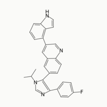 CC(C)n1cnc(-c2ccc(F)cc2)c1-c1ccc2ncc(-c3cccc4[nH]ccc34)cc2c1